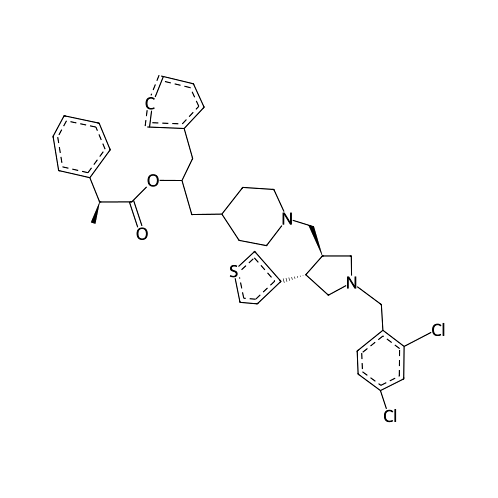 C[C@H](C(=O)OC(Cc1ccccc1)CC1CCN(C[C@H]2CN(Cc3ccc(Cl)cc3Cl)C[C@@H]2c2ccsc2)CC1)c1ccccc1